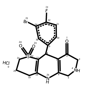 Cl.O=C1CNCC2=C1C(c1ccc(F)c(Br)c1)C1=C(CCCS1(=O)=O)N2